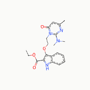 CCOC(=O)c1[nH]c2ccccc2c1OCCn1c(N(C)C)nc(C)cc1=O